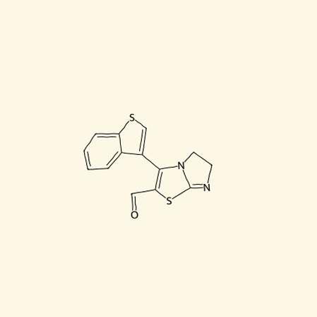 O=CC1=C(c2csc3ccccc23)N2CCN=C2S1